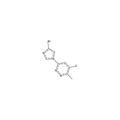 Cc1nnc(-n2cnc(C(C)C)c2)cc1F